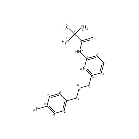 CC(C)(C)C(=O)Nc1cccc(COCc2ccc(F)cc2)n1